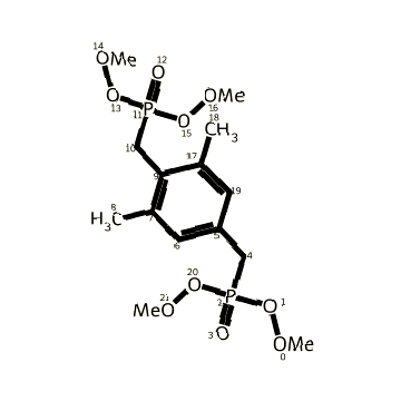 COOP(=O)(Cc1cc(C)c(CP(=O)(OOC)OOC)c(C)c1)OOC